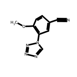 COc1ccc(C#N)cc1-n1cnnn1